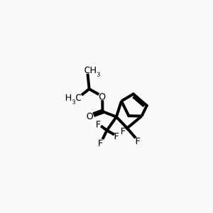 CC(C)OC(=O)C1(C(F)(F)F)C2C=CC(C2)C1(F)F